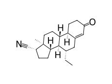 CC[C@H]1CC2=CC(=O)CC[C@@H]2[C@H]2CC[C@]3(C)[C@@H](C#N)CC[C@H]3[C@H]12